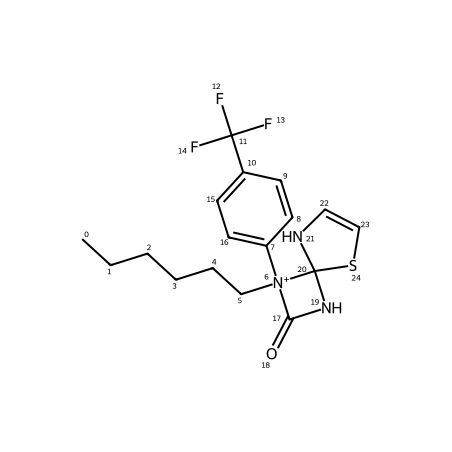 CCCCCC[N+]1(c2ccc(C(F)(F)F)cc2)C(=O)NC12NC=CS2